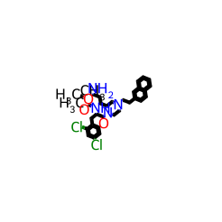 CC(C)(C)OC(=O)NC(Cc1ccc(Cl)cc1Cl)C(=O)N1CCN(CCc2ccc3ccccc3c2)CC1CCCN